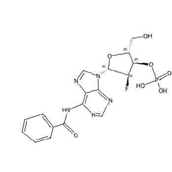 O=C(Nc1ncnc2c1ncn2[C@@H]1O[C@H](CO)[C@@H](OP(=O)(O)O)[C@H]1F)c1ccccc1